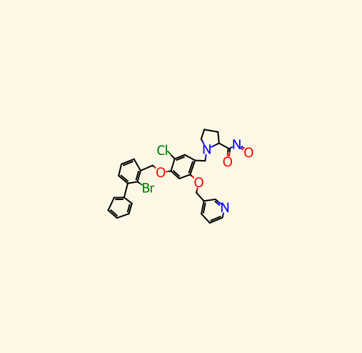 O=NC(=O)C1CCCN1Cc1cc(Cl)c(OCc2cccc(-c3ccccc3)c2Br)cc1OCc1cccnc1